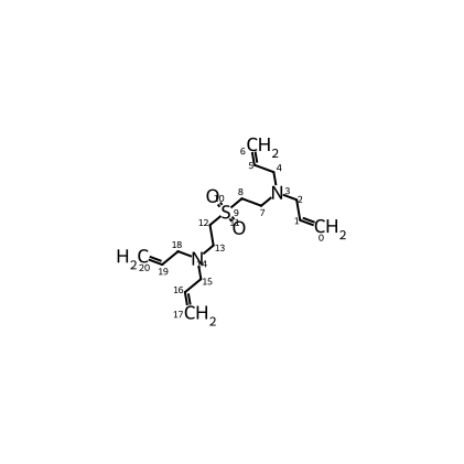 C=CCN(CC=C)CCS(=O)(=O)CCN(CC=C)CC=C